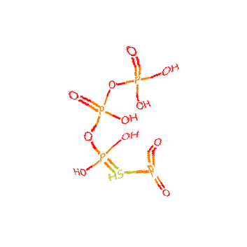 O=P(=O)[SH]=P(O)(O)OP(=O)(O)OP(=O)(O)O